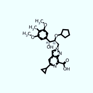 COc1cc([C@@H](O)[C@H](Cn2cc3cc(C4CC4)nc(C(=O)O)c3n2)OC2CCCC2)cc(OC)c1C